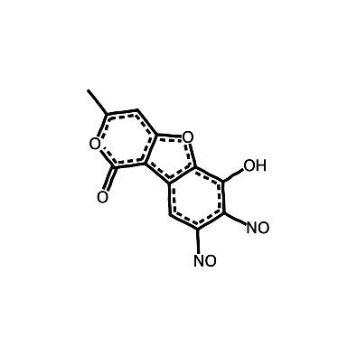 Cc1cc2oc3c(O)c(N=O)c(N=O)cc3c2c(=O)o1